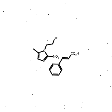 Cc1ncc([N+](=O)[O-])n1CCO.O=C(O)C=Cc1ccccc1